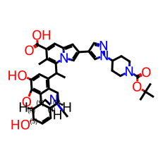 Cc1c(C(=O)O)cc2cc(-c3cnn(C4CCN(C(=O)OC(C)(C)C)CC4)c3)cn2c1C(C)c1cc(O)c2c3c1C[C@@H]1[C@@H]4C=C[C@H](O)[C@H](O2)[C@]34CCN1C